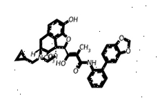 C/C(C(=O)Nc1ccccc1-c1ccc2c(c1)OCO2)=C(/O)[C@@H]1Oc2c(O)ccc3c2[C@@]12CCN(CC1CC1)[C@H](C3)[C@@]2(C)O